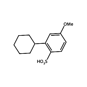 COc1ccc(S(=O)(=O)O)c(C2CCCCC2)c1